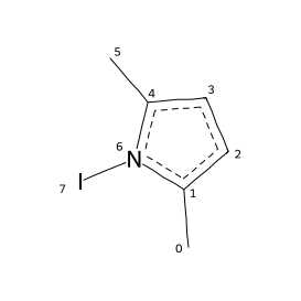 Cc1ccc(C)n1I